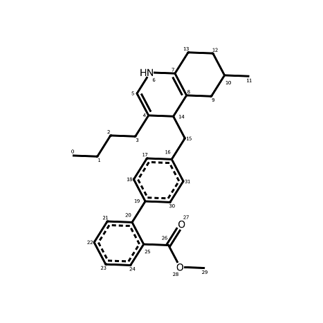 CCCCC1=CNC2=C(CC(C)CC2)C1Cc1ccc(-c2ccccc2C(=O)OC)cc1